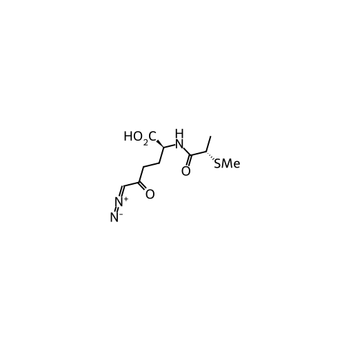 CS[C@@H](C)C(=O)N[C@@H](CCC(=O)C=[N+]=[N-])C(=O)O